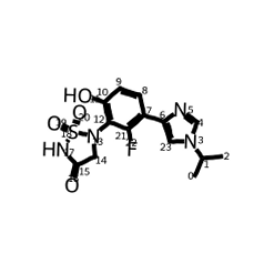 CC(C)n1cnc(-c2ccc(O)c(N3CC(=O)NS3(=O)=O)c2F)c1